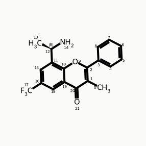 Cc1c(-c2ccccc2)oc2c([C@@H](C)N)cc(C(F)(F)F)cc2c1=O